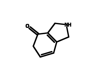 O=C1CC=CC2=C1CNC2